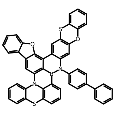 c1ccc(-c2ccc(N3B4c5cccc6c5N(c5ccccc5S6)c5cc6c(oc7ccccc76)c(c54)-c4cc5c(cc43)Oc3ccccc3S5)cc2)cc1